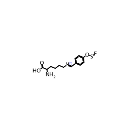 NC(CCCC/N=C/c1ccc(OSF)cc1)C(=O)O